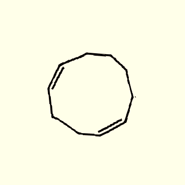 [CH]1C=CCCC=CCCC1